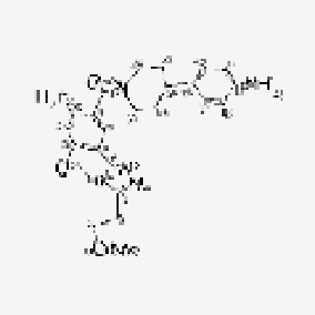 COCCc1nnc(-c2cc(C(=O)N3CCC(c4ccc(N)cc4)CC3)c(C)cc2Cl)[nH]1